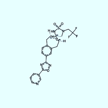 O=S1(=O)N[C@@]2(CN1CC(F)(F)F)[C@@H]1CC[C@H]2Cc2ccc(-c3noc(-c4cccnc4)n3)cc2C1